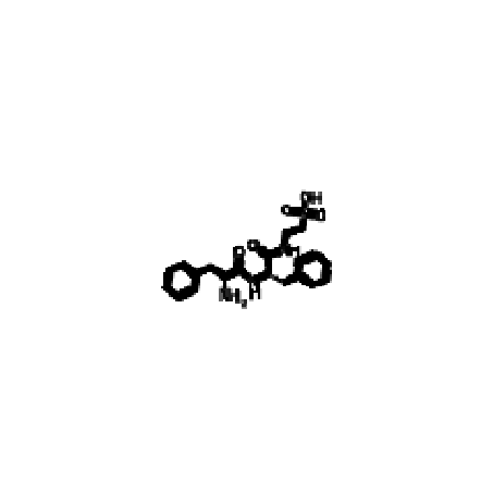 N[C@@H](Cc1ccccc1)C(=O)N[C@@H](Cc1ccccc1)C(=O)NCCS(=O)(=O)O